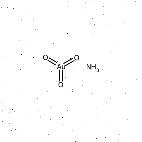 N.[O]=[Au](=[O])=[O]